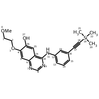 COCCOc1cc2ncnc(Nc3cccc(C#C[Si](C)(C)C)c3)c2cc1O